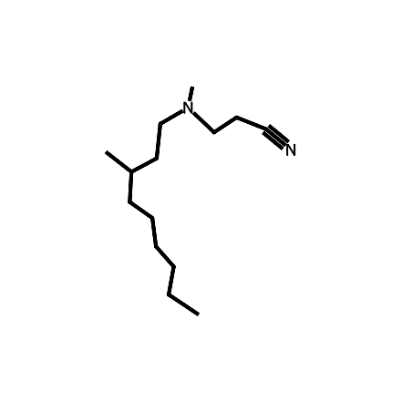 CCCCCCC(C)CCN(C)CCC#N